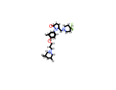 Cc1cc(N2C(=O)CCC2CN2CCC(F)(F)CC2)ccc1OCCCN1CC(C)CC(C)C1